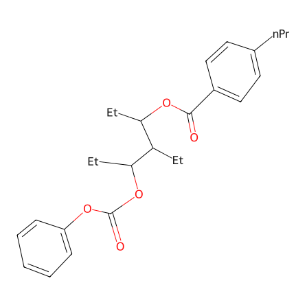 CCCc1ccc(C(=O)OC(CC)C(CC)C(CC)OC(=O)Oc2ccccc2)cc1